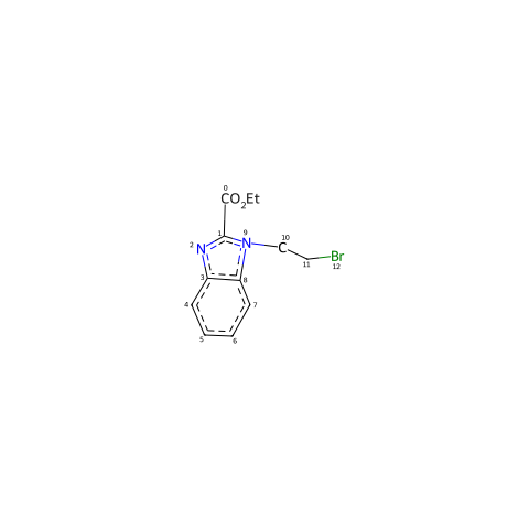 CCOC(=O)c1nc2ccccc2n1CCBr